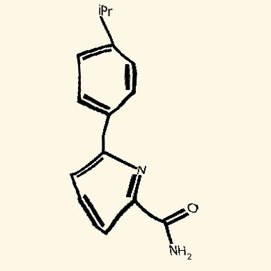 CC(C)c1ccc(-c2cccc(C(N)=O)n2)cc1